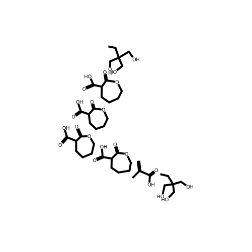 C=C(C)C(=O)O.CCC(CO)(CO)CO.CCC(CO)(CO)CO.O=C(O)C1CCCCOC1=O.O=C(O)C1CCCCOC1=O.O=C(O)C1CCCCOC1=O.O=C(O)C1CCCCOC1=O